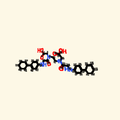 O=C(O)CN(CCN(CC(=O)O)C(=O)CNc1ccc(C2CCCCC2)cc1)C(=O)CNc1ccc(C2CCCCC2)cc1